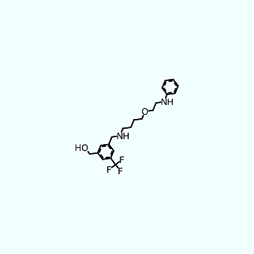 OCc1cc(CNCCCCOCCNc2ccccc2)cc(C(F)(F)F)c1